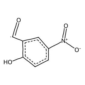 O=[C]c1cc([N+](=O)[O-])ccc1O